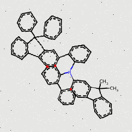 CC1(C)c2ccccc2-c2ccc(N(c3ccccc3-c3ccccc3)c3ccccc3-c3ccc4c(c3)C(c3ccccc3)(c3ccccc3)c3ccccc3-4)cc21